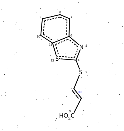 O=C(O)/C=C/Sc1nc2ccccc2s1